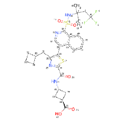 CC(C)(CC(F)(F)F)NS(=O)(=O)c1ncc(-c2sc(C(=O)N[C@H]3C[C@H](C(=O)O)C3)nc2CC2CCC2)c2ccccc12